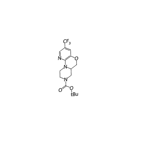 CC(C)(C)OC(=O)N1CCN2c3ncc(C(F)(F)F)cc3OCC2C1